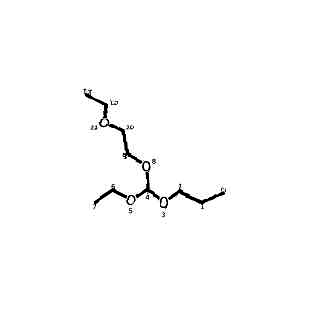 CCCO[C](OCC)OCCOCC